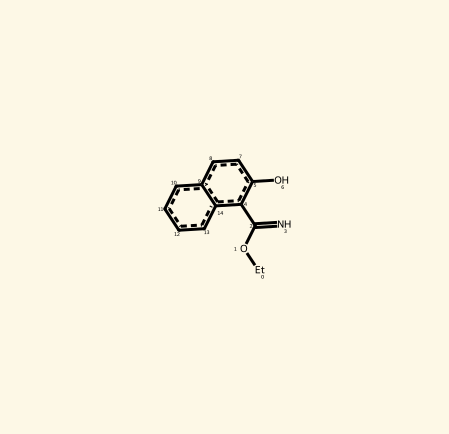 CCOC(=N)c1c(O)ccc2ccccc12